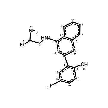 CCC(N)CNc1nc(-c2cc(F)ccc2O)nc2ccccc12